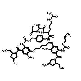 C=CCOC(=O)Nc1cc(OCCCCCOc2cc(NC(=O)OCc3ccc(NC(=O)C(CCCNC(N)=O)NC(=O)C(NC(=O)OC(C)(C)C)C(C)C)cc3)c(C(=O)N3CC(=C)CC3COC(C)=O)cc2OC)c(OC)cc1C(=O)N1CC(=C)CC1COC(C)=O